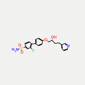 NS(=O)(=O)c1ccc(-c2ccc(OC[C@H](O)CCc3cccnc3)cc2)c(F)c1